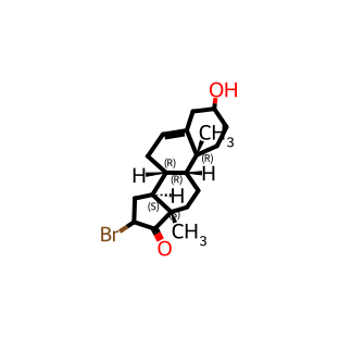 C[C@]12CCC(O)CC1=CC[C@@H]1[C@H]2CC[C@]2(C)C(=O)C(Br)C[C@@H]12